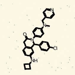 CN(Cc1ccncc1)c1ccc(N2C(=O)Cc3ccc(NC4CCC4)cc3C2c2ccc(Cl)cc2)cc1